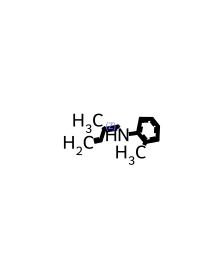 C=C/C(C)=C\Nc1ccccc1C